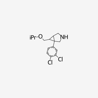 CC(C)OCC1C2CNCC21c1ccc(Cl)c(Cl)c1